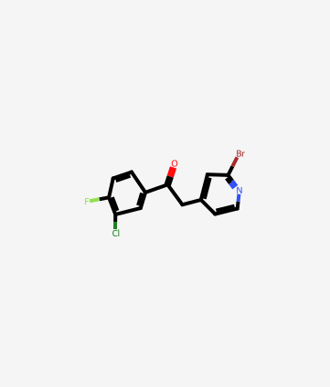 O=C(Cc1ccnc(Br)c1)c1ccc(F)c(Cl)c1